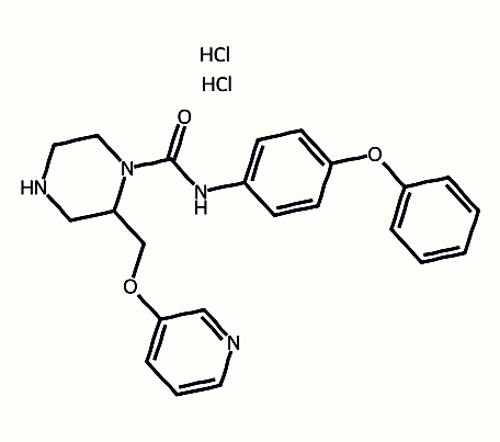 Cl.Cl.O=C(Nc1ccc(Oc2ccccc2)cc1)N1CCNCC1COc1cccnc1